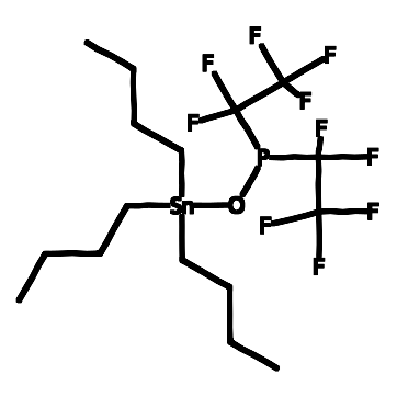 CCC[CH2][Sn]([CH2]CCC)([CH2]CCC)[O]P(C(F)(F)C(F)(F)F)C(F)(F)C(F)(F)F